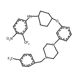 O=[N+]([O-])c1ccc(NC2CCC(Oc3cc(N4CCN(Cc5ccc(C(F)(F)F)cc5)CC4)ccn3)CC2)cc1C(F)(F)F